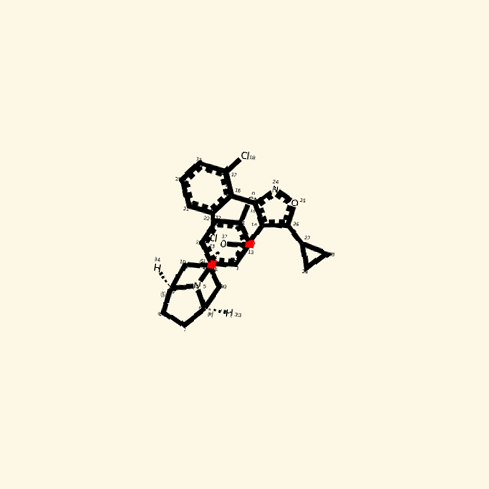 N#Cc1ccc(N2[C@@H]3CC[C@H]2C[C@H](OCc2c(-c4c(Cl)cccc4Cl)noc2C2CC2)C3)cc1